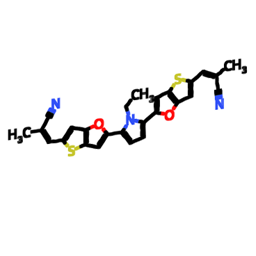 CCn1c(-c2cc3sc(/C=C(/C)C#N)cc3o2)ccc1-c1cc2sc(/C=C(/C)C#N)cc2o1